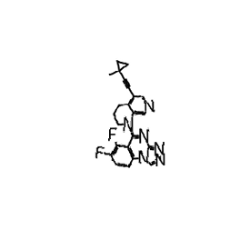 CC1(C#Cc2cncc3c2CCCN3c2nc3nncn3c3ccc(F)c(F)c23)CC1